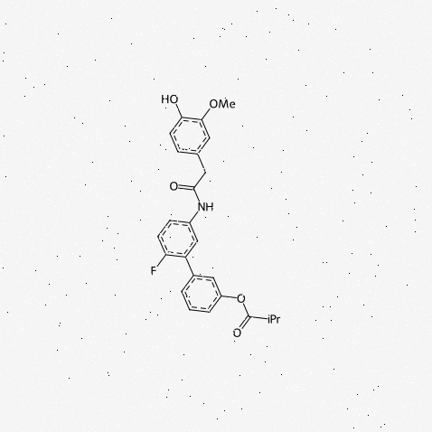 COc1cc(CC(=O)Nc2ccc(F)c(-c3cccc(OC(=O)C(C)C)c3)c2)ccc1O